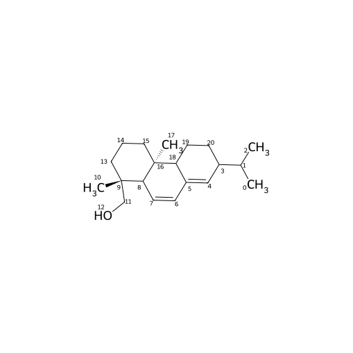 CC(C)C1C=C2C=CC3[C@](C)(CO)CCC[C@@]3(C)C2CC1